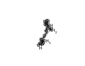 Cn1c(=O)n(C2CCC(=O)NC2=O)c2cccc(CCCOCCCc3ccc(COC[C@H](CCC(N)=O)NC(=O)[C@@H]4Cc5cccc6c5N4C(=O)CCC6)cc3)c21